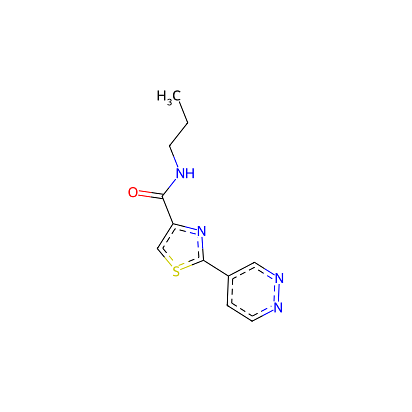 CCCNC(=O)c1csc(-c2ccnnc2)n1